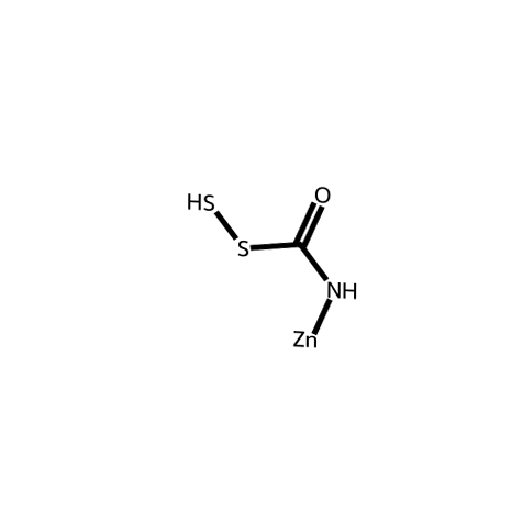 O=C([NH][Zn])SS